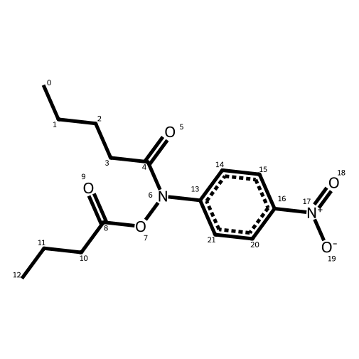 CCCCC(=O)N(OC(=O)CCC)c1ccc([N+](=O)[O-])cc1